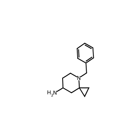 NC1CCN(Cc2ccccc2)C2(CC2)C1